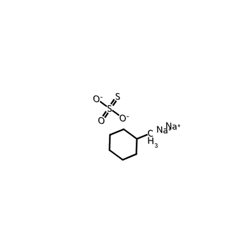 CC1CCCCC1.O=S([O-])([O-])=S.[Na+].[Na+]